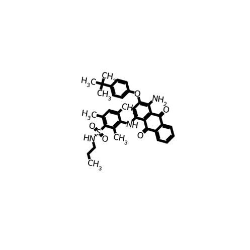 CCCNS(=O)(=O)c1c(C)cc(C)c(Nc2cc(Oc3ccc(C(C)(C)C)cc3)c(N)c3c2C(=O)c2ccccc2C3=O)c1C